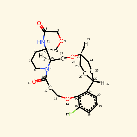 O=C1COC[C@]2(CCCN3C(=O)CCOc4c(F)cccc4[C@H]4CC[C@H](CC4)OC[C@@H]32)N1